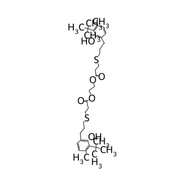 Cc1ccc(CCCSCCC(=O)OCCOC(=O)CCSCCCc2ccc(C)c(C(C)(C)C)c2O)c(O)c1C(C)(C)C